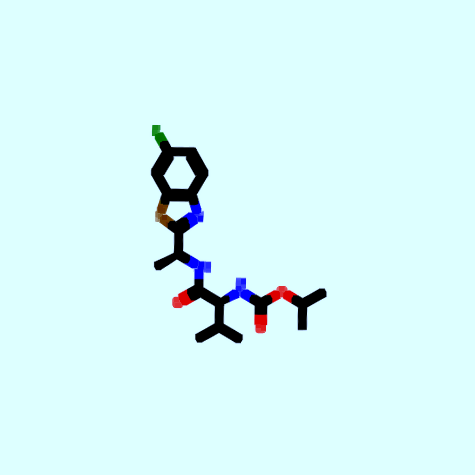 CC(C)OC(=O)N[C@H](C(=O)N[C@@H](C)c1nc2ccc(F)cc2s1)C(C)C